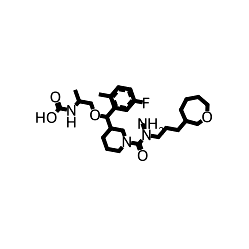 Cc1ccc(F)cc1C(OCC(C)NC(=O)O)C1CCCN(C(=O)N(N)CCCC2CCCCOC2)C1